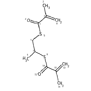 C=C(C)C(=O)SCC(C)SC(=O)C(=C)C